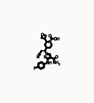 N#CC[C@@H](C1CCN(C(=O)O)C(C2COC2)C1)n1cc(C(N)=O)c(Nc2ccc(F)cc2)n1